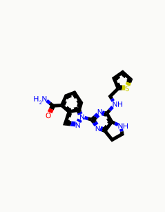 NC(=O)c1cccc2c1cnn2-c1nc2c(c(NCc3cccs3)n1)NCC2